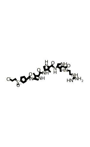 Cc1c(NC(=O)c2ccc([S+]([O-])CCCl)cc2)c[nH]c1C(=O)Nc1c[nH]c(C(=O)Nc2c[nH]c(C(=O)NCCNC(=N)N)c2C)c1C